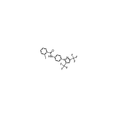 O=C(Nc1ccc(-n2nc(C(F)(F)F)cc2C(F)(F)F)cc1)c1ccccc1I